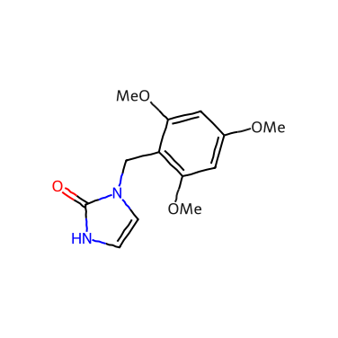 COc1cc(OC)c(Cn2cc[nH]c2=O)c(OC)c1